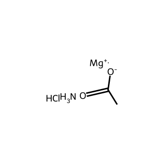 CC(=O)[O-].Cl.N.[Mg+]